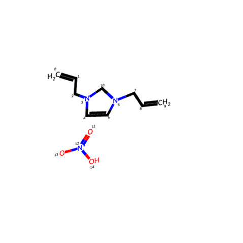 C=CCN1C=CN(CC=C)C1.O=[N+]([O-])O